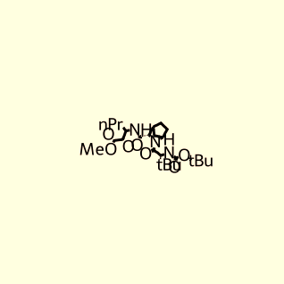 CCCC(NC(=O)[C@@H]1C2CCC(C2)N1C(=O)[C@H](NC(=O)OC(C)(C)C)C(C)(C)C)C(=O)C(=O)OC